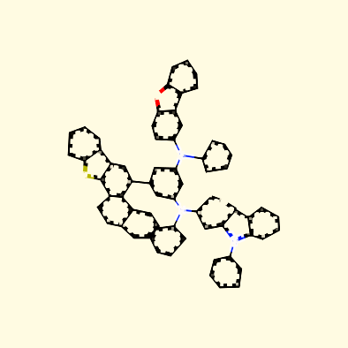 c1ccc(N(c2cc(-c3cc4c5ccccc5sc4c4ccc5ccccc5c34)cc(N(c3ccccc3)c3ccc4c5ccccc5n(-c5ccccc5)c4c3)c2)c2ccc3oc4ccccc4c3c2)cc1